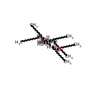 CCCCCCCCCCCCCC(=O)O[C@H](CCCCCCCCCCC)CC(=O)NCCO[C@H]1O[C@H](CO)[C@](O)(P(=O)(O)O)[C@H](OC(=O)C[C@@H](CCCCCCCCCCC)OC(=O)CCCCCCCCCCCCC)[C@@H]1NC(=O)C[C@@H](CCCCCCCCCCC)OC(=O)CCCCCCCCCCCCC